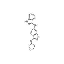 c1cnc2c(Nc3ccc4c(OC5CCOC5)noc4c3)n[nH]c2c1